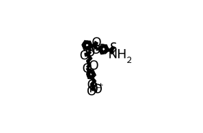 NC(=S)c1ccc(OC(=O)c2ccccc2OC(=O)CCC(=O)Oc2ccc(CO[N+](=O)[O-])cc2)cc1